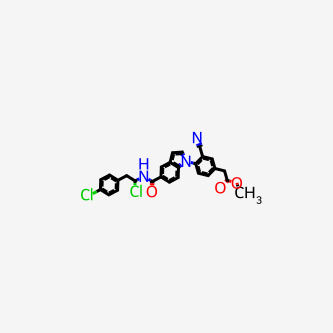 COC(=O)Cc1ccc(-n2ccc3cc(C(=O)NC(Cl)Cc4ccc(Cl)cc4)ccc32)c(C#N)c1